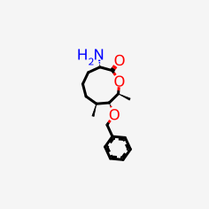 C[C@@H]1OC(=O)[C@@H](N)CCC[C@H](C)[C@H]1OCc1ccccc1